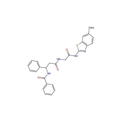 COc1ccc2nc(NC(=O)CNC(=O)CC(NC(=O)c3ccccc3)c3ccccc3)sc2c1